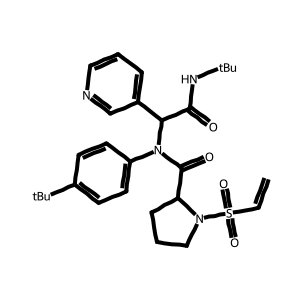 C=CS(=O)(=O)N1CCCC1C(=O)N(c1ccc(C(C)(C)C)cc1)C(C(=O)NC(C)(C)C)c1cccnc1